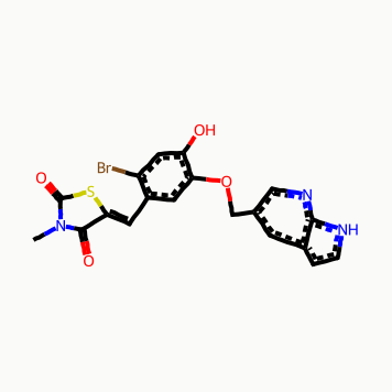 CN1C(=O)S/C(=C\c2cc(OCc3cnc4[nH]ccc4c3)c(O)cc2Br)C1=O